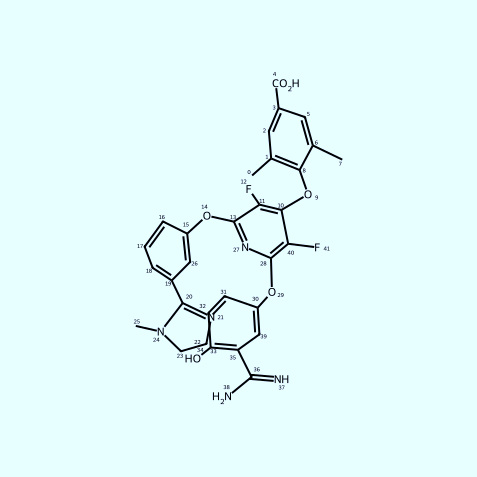 Cc1cc(C(=O)O)cc(C)c1Oc1c(F)c(Oc2cccc(C3=NCCN3C)c2)nc(Oc2ccc(O)c(C(=N)N)c2)c1F